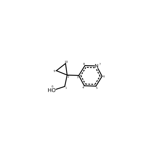 OCC1(c2cccnc2)CC1